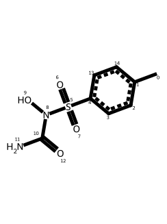 Cc1ccc(S(=O)(=O)N(O)C(N)=O)cc1